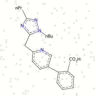 CCCCn1nc(CCC)nc1Cc1ccc(-c2ccccc2C(=O)O)cn1